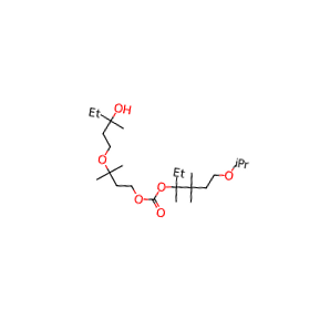 CCC(C)(O)CCOC(C)(C)CCOC(=O)OC(C)(CC)C(C)(C)CCOC(C)C